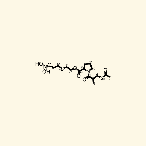 CC(=O)SCC(C)C(=O)N1CCCC1C(=O)OCCSCCON(O)O